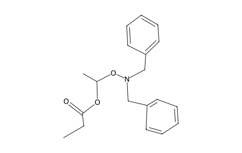 CCC(=O)OC(C)ON(Cc1ccccc1)Cc1ccccc1